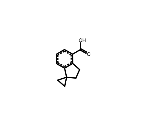 O=C(O)c1cccc2c1CCC21CC1